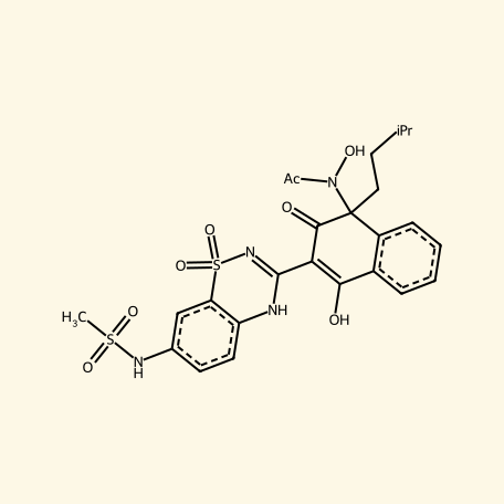 CC(=O)N(O)C1(CCC(C)C)C(=O)C(C2=NS(=O)(=O)c3cc(NS(C)(=O)=O)ccc3N2)=C(O)c2ccccc21